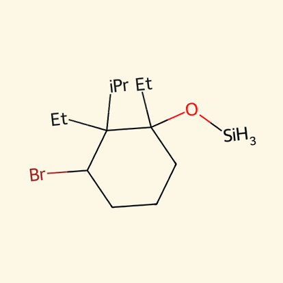 CCC1(O[SiH3])CCCC(Br)C1(CC)C(C)C